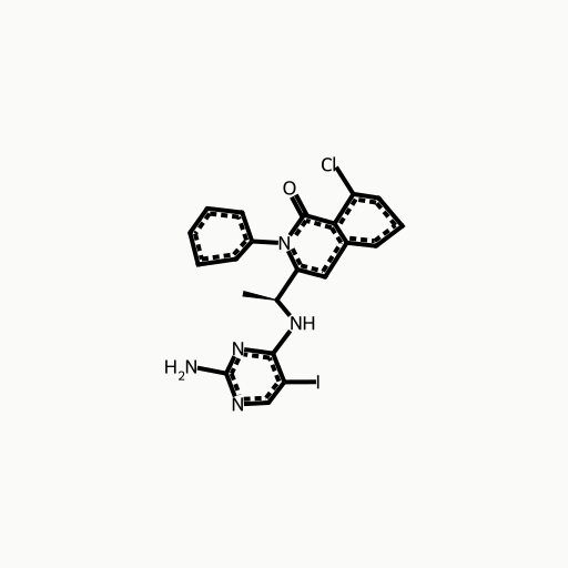 C[C@H](Nc1nc(N)ncc1I)c1cc2cccc(Cl)c2c(=O)n1-c1ccccc1